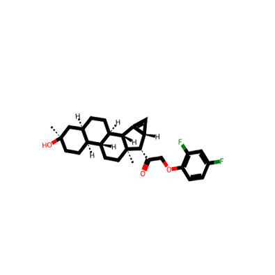 C[C@@]1(O)CC[C@H]2[C@H](CC[C@@H]3[C@@H]2CC[C@@]2(C)[C@H]3C3=C[C@@H]3[C@@H]2C(=O)COc2ccc(F)cc2F)C1